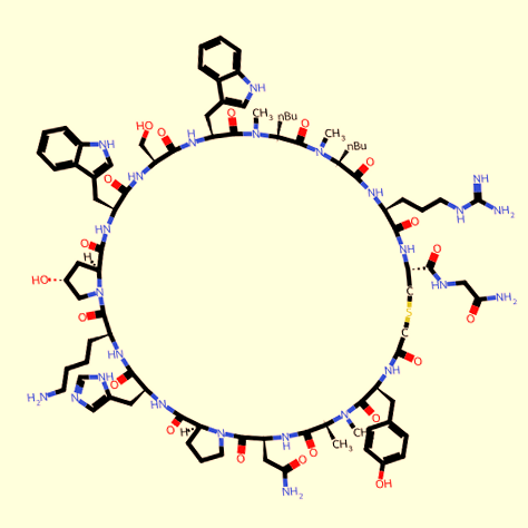 CCCC[C@H]1C(=O)N(C)[C@@H](CCCC)C(=O)N[C@@H](CCCNC(=N)N)C(=O)N[C@H](C(=O)NCC(N)=O)CSCC(=O)N[C@@H](Cc2ccc(O)cc2)C(=O)N(C)[C@@H](C)C(=O)N[C@@H](CC(N)=O)C(=O)N2CCC[C@H]2C(=O)N[C@@H](Cc2cnc[nH]2)C(=O)N[C@@H](CCCCN)C(=O)N2C[C@H](O)C[C@H]2C(=O)N[C@@H](Cc2c[nH]c3ccccc23)C(=O)N[C@@H](CO)C(=O)N[C@@H](Cc2c[nH]c3ccccc23)C(=O)N1C